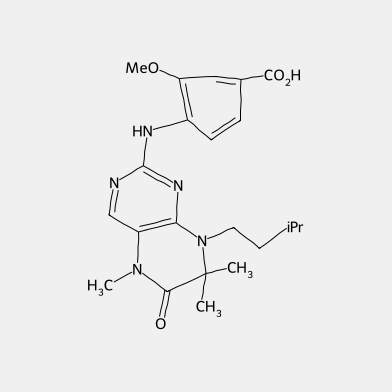 COc1cc(C(=O)O)ccc1Nc1ncc2c(n1)N(CCC(C)C)C(C)(C)C(=O)N2C